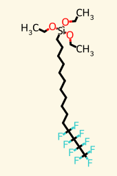 CCO[Si](CCCCCCCCCCCC(F)(F)C(F)(F)C(F)(F)C(F)(F)F)(OCC)OCC